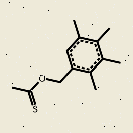 CC(=S)OCc1cc(C)c(C)c(C)c1C